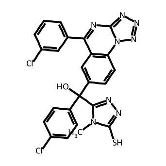 Cn1c(S)nnc1C(O)(c1ccc(Cl)cc1)c1ccc2c(c1)c(-c1cccc(Cl)c1)nc1nnnn12